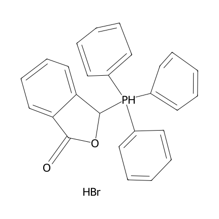 Br.O=C1OC([PH](c2ccccc2)(c2ccccc2)c2ccccc2)c2ccccc21